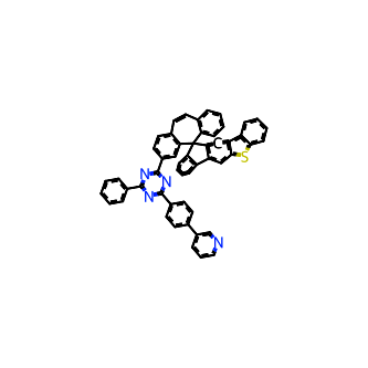 C1=Cc2ccc(-c3nc(-c4ccccc4)nc(-c4ccc(-c5cccnc5)cc4)n3)cc2C2(c3ccccc31)c1ccccc1-c1cc3sc4ccccc4c3cc12